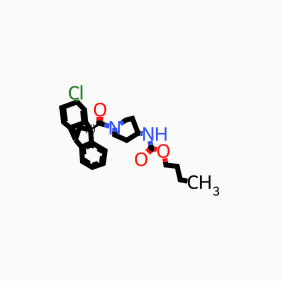 CCCCOC(=O)NC1CCN(C(=O)[C@@]23CC(=C4C=CC(Cl)C=C42)c2ccccc23)CC1